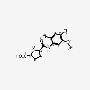 CC(C)Oc1cc(NC(=O)[C@H]2CC[C@@H](C(=O)O)S2)c(Cl)cc1Cl